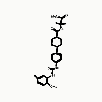 COC(=O)C(C)(C)NC(=O)C1CCC(c2ccc(NC(=O)Nc3cc(C)ccc3OC)cc2)CC1